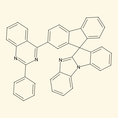 c1ccc(-c2nc(-c3ccc4c(c3)C3(c5ccccc5-4)c4ccccc4-n4c3nc3ccccc34)c3ccccc3n2)cc1